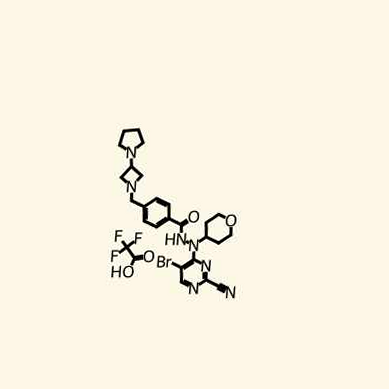 N#Cc1ncc(Br)c(N(NC(=O)c2ccc(CN3CC(N4CCCC4)C3)cc2)C2CCOCC2)n1.O=C(O)C(F)(F)F